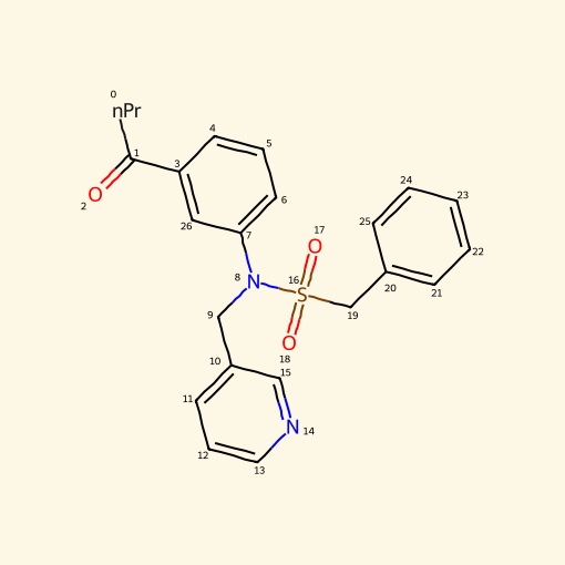 CCCC(=O)c1cccc(N(Cc2cccnc2)S(=O)(=O)Cc2ccccc2)c1